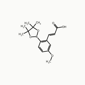 COc1ccc(B2OC(C)(C)C(C)(C)O2)c(C=CC(=O)O)c1